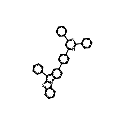 c1ccc(-c2cc(-c3ccc(-c4ccc5c(c4)c(-c4ccccc4)c4sc6ccccc6n45)cc3)nc(-c3ccccc3)n2)cc1